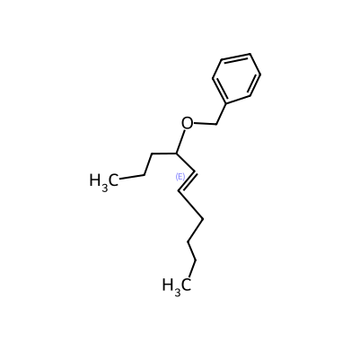 CCCC/C=C/C(CCC)OCc1ccccc1